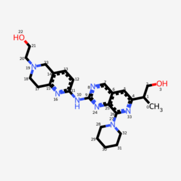 CC(CO)c1cc2cnc(Nc3ccc4c(n3)CCN(CCO)C4)nc2c(N2CCCCC2)n1